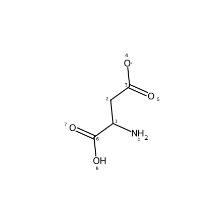 NC(CC([O])=O)C(=O)O